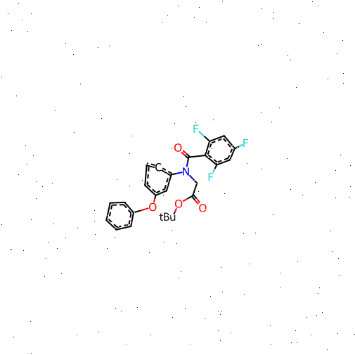 CC(C)(C)OC(=O)CN(C(=O)c1c(F)cc(F)cc1F)c1cccc(Oc2ccccc2)c1